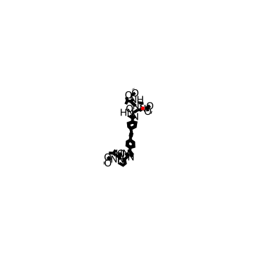 COC(=O)NC(C(=O)N1CCN(C(=O)OC)CC1c1nc(-c2ccc(C#Cc3ccc(-c4cnc(C5CCCN5C(=O)C(NC(=O)OC)C(C)C)[nH]4)cc3)cc2)c[nH]1)C(C)C